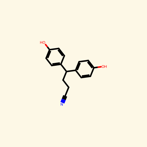 N#CCCC(c1ccc(O)cc1)c1ccc(O)cc1